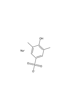 Cc1cc(S(=O)(=O)[O-])cc(C)c1O.[Na+]